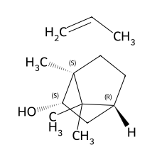 C=CC.CC1(C)[C@@H]2CC[C@]1(C)[C@@H](O)C2